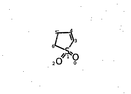 O=S1(=O)C=C[CH]C1